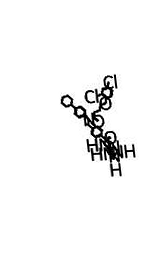 O=C(NC1=NNNN1)c1ccc(CN(C(=O)CCCOc2ccc(Cl)cc2Cl)c2ccc(C3CCCCC3)cc2)cc1